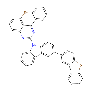 c1ccc2c(c1)Sc1cccc3nc(-n4c5ccccc5c5cc(-c6ccc7sc8ccccc8c7c6)ccc54)nc-2c13